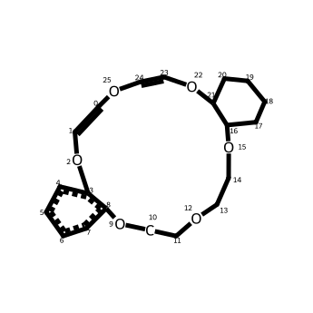 C1=COc2ccccc2OCCOCCOC2CCCCC2OC=CO1